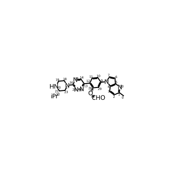 Cc1ccc2c(ccn2-c2ccc(-c3cnc(N4CCN[C@@H](C(C)C)C4)nn3)c(OC=O)c2)n1